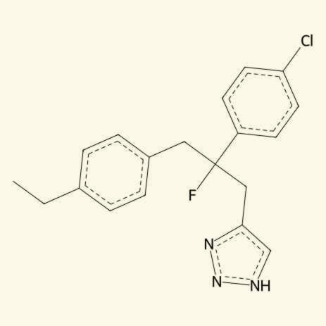 CCc1ccc(CC(F)(Cc2c[nH]nn2)c2ccc(Cl)cc2)cc1